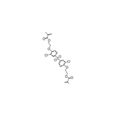 C=C(C)C(=O)OCCOc1ccc(S(=O)(=O)c2ccc(OCCOC(=O)C(=C)C)c(Cl)c2)cc1Cl